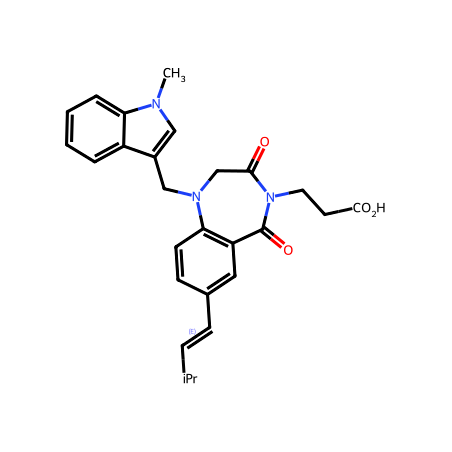 CC(C)/C=C/c1ccc2c(c1)C(=O)N(CCC(=O)O)C(=O)CN2Cc1cn(C)c2ccccc12